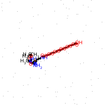 CCCN(CCNC(=O)OC(C)(C)C)C(=O)C1=Cc2sc(CCCCCNC(=O)CCOCCOCCOCCOCCOCCOCCOCCOCCOCCOCCC(=O)O)cc2N=C(N)C1